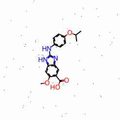 COc1cc2[nH]c(Nc3ccc(OC(C)C)cc3)nc2cc1C(=O)O